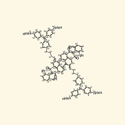 CCCCCCc1ccc(N(c2ccc(CCCCCC)cc2)c2ccc(CCCSc3cc4c5c(ccc6c7c(SCCCc8ccc(N(c9ccc(CCCCCC)cc9)c9ccc(CCCCCC)cc9)cc8)cc8c9c(ccc(c3c56)c97)C(=O)N(c3c(C(C)C)cccc3C(C)C)C8=O)C(=O)N(c3c(C(C)C)cccc3C(C)C)C4=O)cc2)cc1